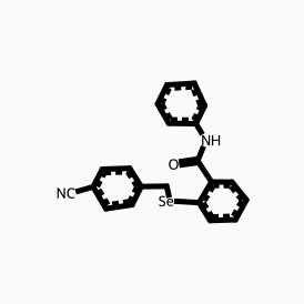 N#Cc1ccc(C[Se]c2ccccc2C(=O)Nc2ccccc2)cc1